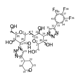 OCC1O[C@@H](SC2O[C@H](CO)C(O)C(n3cc(C4CCOCC4)nn3)[C@H]2O)[C@@H](O)C(n2cc(-c3cc(F)c(F)c(F)c3)nn2)[C@H]1O